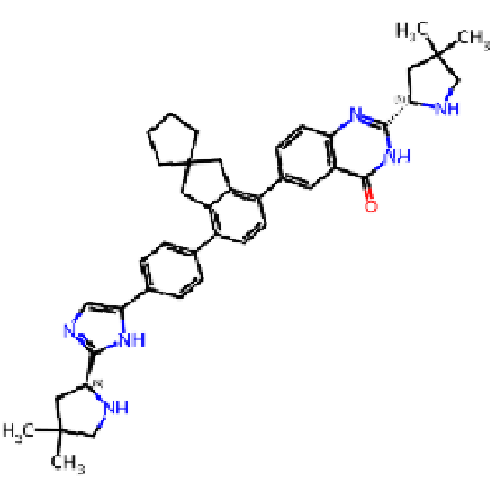 CC1(C)CN[C@H](c2ncc(-c3ccc(-c4ccc(-c5ccc6nc([C@@H]7CC(C)(C)CN7)[nH]c(=O)c6c5)c5c4CC4(CCCC4)C5)cc3)[nH]2)C1